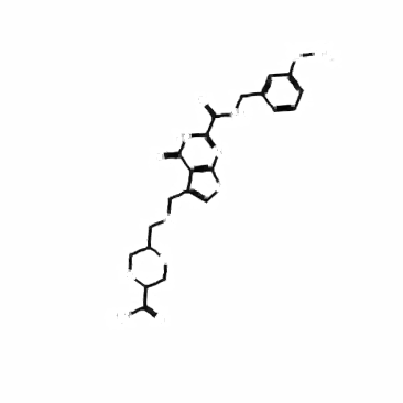 COc1cccc(CNC(=O)c2nc3scc(COCC4COC(C(N)=O)CO4)c3c(=O)[nH]2)c1